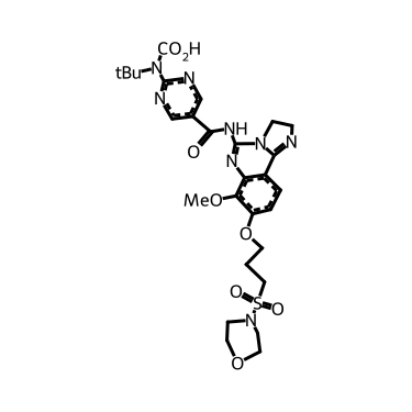 COc1c(OCCCS(=O)(=O)N2CCOCC2)ccc2c1N=C(NC(=O)c1cnc(N(C(=O)O)C(C)(C)C)nc1)N1CCN=C21